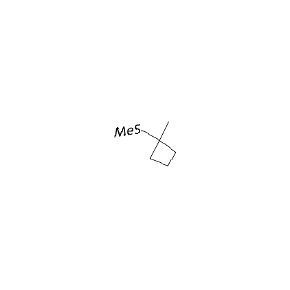 CSC1(C)CCC1